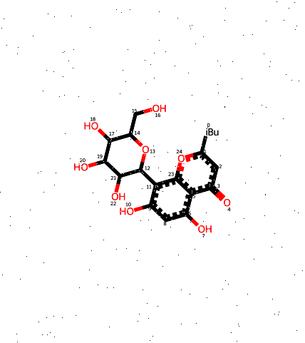 CCC(C)c1cc(=O)c2c(O)cc(O)c(C3OC(CO)C(O)C(O)C3O)c2o1